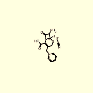 N#C[S-].NC1C(=O)N2C(C(=O)O)=C(C[n+]3ccccc3)CS[C@@H]12